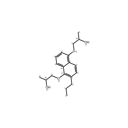 [CH2]CCc1ccc2c(OCC(C)O)cccc2c1OCC(C)O